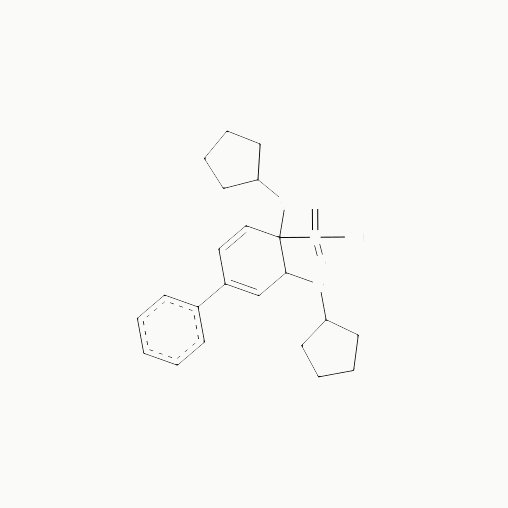 CS(=O)(=O)C1(OC2CCCC2)C=CC(c2ccccc2)=CC1OC1CCCC1